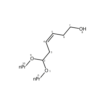 CCCOC(C/C=C\CCO)OCCC